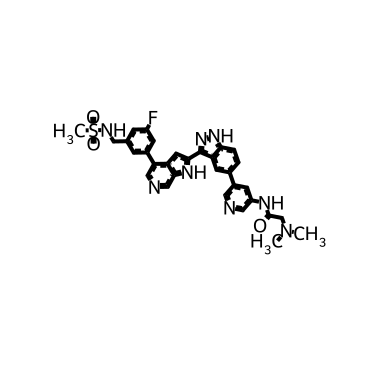 CN(C)CC(=O)Nc1cncc(-c2ccc3[nH]nc(-c4cc5c(-c6cc(F)cc(CNS(C)(=O)=O)c6)cncc5[nH]4)c3c2)c1